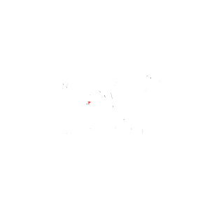 CC(C)c1ccc2c(c1)OC1(O)c3cccc([N+](=O)[O-])c3C(=O)C21NC(=O)c1ncccc1Cl